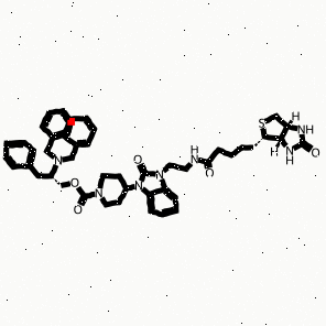 O=C(CCCC[C@@H]1SC[C@@H]2NC(=O)N[C@@H]21)NCCn1c(=O)n(C2CCN(C(=O)OC[C@H](Cc3ccccc3)N(Cc3ccccc3)Cc3ccccc3)CC2)c2ccccc21